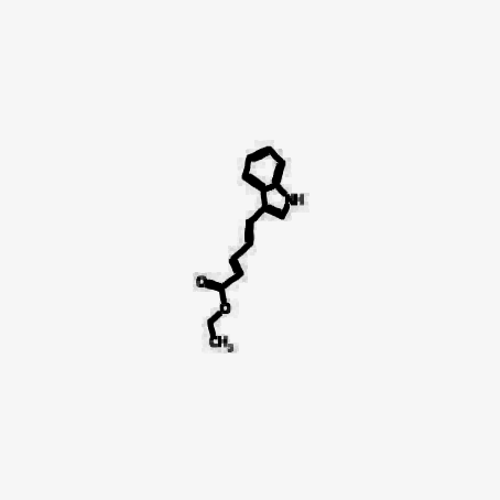 CCOC(=O)C=CC=Cc1c[nH]c2ccccc12